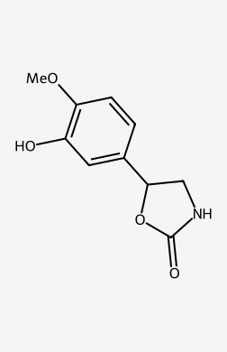 COc1ccc(C2CNC(=O)O2)cc1O